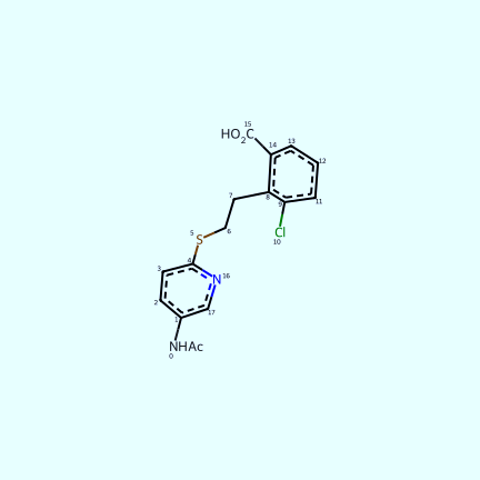 CC(=O)Nc1ccc(SCCc2c(Cl)cccc2C(=O)O)nc1